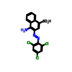 Nc1c(/N=N/c2c(Cl)cc(Cl)cc2Cl)cc(S(=O)(=O)O)c2ccccc12